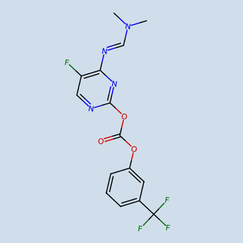 CN(C)/C=N/c1nc(OC(=O)Oc2cccc(C(F)(F)F)c2)ncc1F